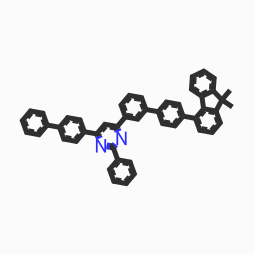 CC1(C)c2ccccc2-c2c(-c3ccc(-c4cccc(-c5cc(-c6ccc(-c7ccccc7)cc6)nc(-c6ccccc6)n5)c4)cc3)cccc21